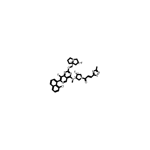 Cc1nsc(C=CC(=O)N2C[C@H](F)[C@@H](N(C)c3nc(OC[C@@]45CCCN4C[C@H](F)C5)nc4c(F)c(-c5cccc6cccc(Cl)c56)ncc34)C2)n1